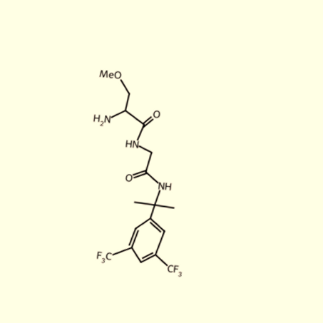 COCC(N)C(=O)NCC(=O)NC(C)(C)c1cc(C(F)(F)F)cc(C(F)(F)F)c1